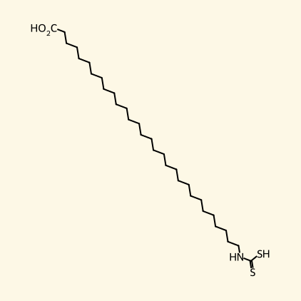 O=C(O)CCCCCCCCCCCCCCCCCCCCCCCCCCCCCNC(=S)S